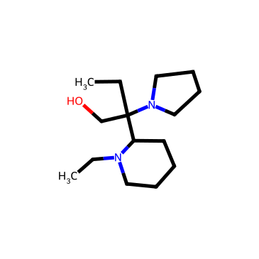 CCN1CCCCC1C(CC)(CO)N1CCCC1